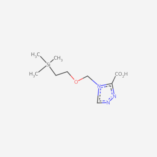 C[Si](C)(C)CCOCn1cnnc1C(=O)O